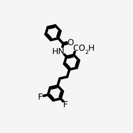 O=C(Nc1cc(CCc2cc(F)cc(F)c2)ccc1C(=O)O)c1ccccc1